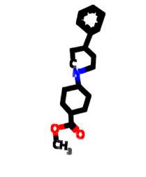 COC(=O)C1CCC(N2CCC(c3ccccc3)CC2)CC1